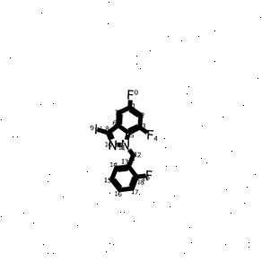 Fc1cc(F)c2c(c1)c(I)nn2Cc1ccccc1F